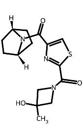 CC1(O)CN(C(=O)c2nc(C(=O)N3[C@H]4CC[C@@H]3CC4)cs2)C1